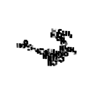 Cn1c(C(=O)Nc2cccc(-c3cccc(NC(=O)c4nc5c(n4C)CCN(C(=O)OC(C)(C)C)C5)c3Cl)c2Cl)nc2c1CCN(CCC13CCC(C(=O)O)(CC1)C3)C2